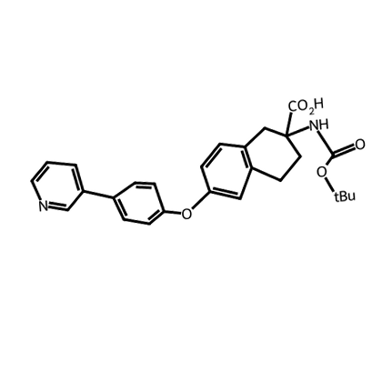 CC(C)(C)OC(=O)NC1(C(=O)O)CCc2cc(Oc3ccc(-c4cccnc4)cc3)ccc2C1